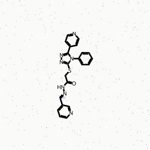 O=C(CSc1nnc(-c2ccncc2)n1-c1ccccc1)N/N=C/c1cccnc1